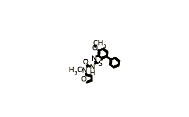 COc1ccc(-c2ccccc2)c2sc(NC(=O)N(C)c3ccco3)nc12